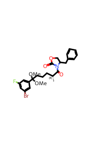 COC(CCC[C@@H](C)C(=O)N1C(=O)OCC1Cc1ccccc1)(OC)c1cc(F)cc(Br)c1